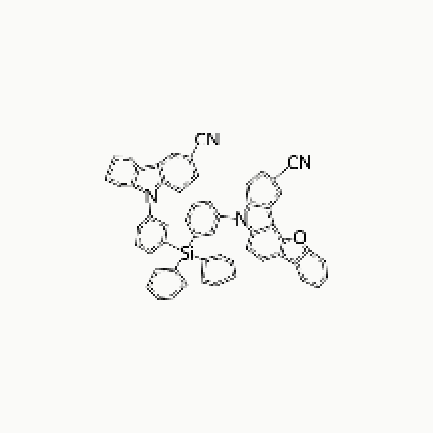 N#Cc1ccc2c(c1)c1ccccc1n2-c1cccc([Si](c2ccccc2)(c2ccccc2)c2cccc(-n3c4ccc(C#N)cc4c4c5oc6ccccc6c5ccc43)c2)c1